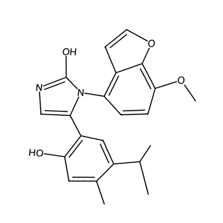 COc1ccc(-n2c(-c3cc(C(C)C)c(C)cc3O)cnc2O)c2ccoc12